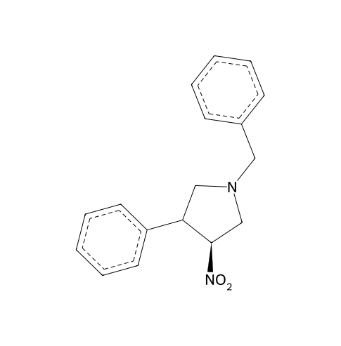 O=[N+]([O-])[C@@H]1CN(Cc2ccccc2)CC1c1ccccc1